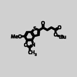 COc1cc2sc(C(=O)CCC(=O)OC(C)(C)C)cc2c2nc(C)oc12